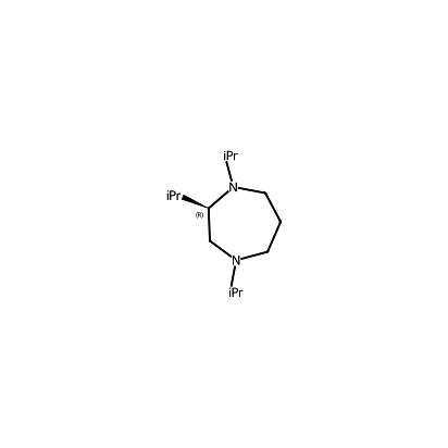 CC(C)[C@@H]1CN(C(C)C)CCCN1C(C)C